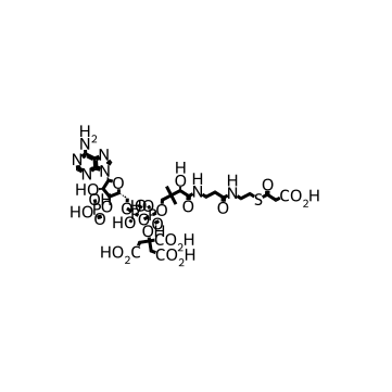 CC(C)(COP(=O)(O)OP(=O)(O)OC[C@H]1O[C@@H](n2cnc3c(N)ncnc32)[C@H](O)[C@@H]1OP(=O)(O)O)[C@@H](O)C(=O)NCCC(=O)NCCSC(=O)CC(=O)O.O=C(O)CC(O)(CC(=O)O)C(=O)O